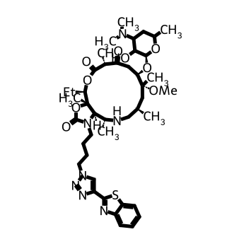 CC[C@H]1OC(=O)[C@H](C)C(=O)C[C@@H](O[C@@H]2OC(C)CC(N(C)C)C2O)[C@](C)(OC)C[C@@H](C)CN[C@H](C)[C@H]2N(CCCCn3cc(-c4nc5ccccc5s4)nn3)C(=O)O[C@]12C